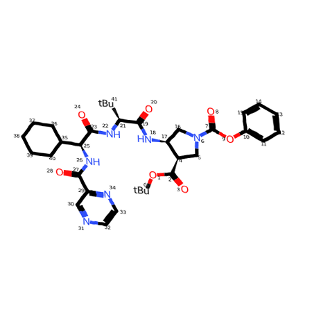 CC(C)(C)OC(=O)[C@@H]1CN(C(=O)Oc2ccccc2)C[C@@H]1NC(=O)[C@@H](NC(=O)[C@@H](NC(=O)c1cnccn1)C1CCCCC1)C(C)(C)C